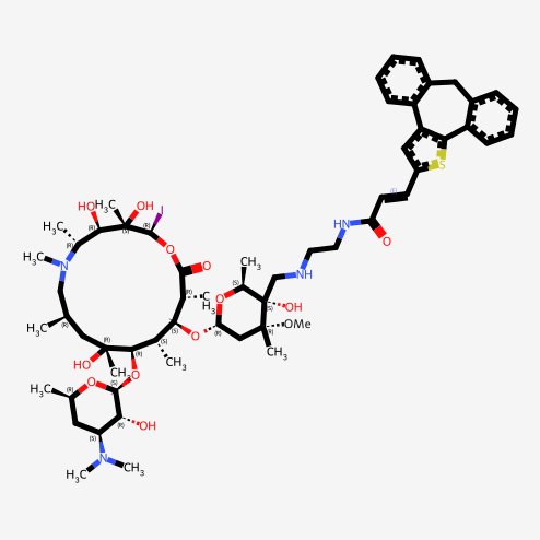 CO[C@]1(C)C[C@H](O[C@H]2[C@H](C)[C@@H](O[C@@H]3O[C@H](C)C[C@H](N(C)C)[C@H]3O)[C@](C)(O)C[C@@H](C)CN(C)[C@H](C)[C@@H](O)[C@](C)(O)[C@@H](I)OC(=O)[C@@H]2C)O[C@@H](C)[C@@]1(O)CNCCNC(=O)/C=C/c1cc2c(s1)-c1ccccc1Cc1ccccc1-2